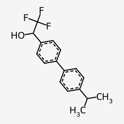 CC(C)c1ccc(-c2ccc(C(O)C(F)(F)F)cc2)cc1